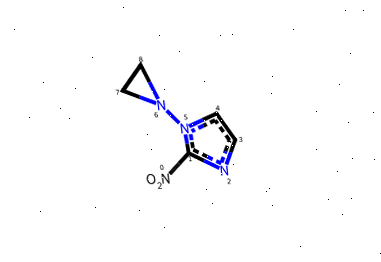 O=[N+]([O-])c1nccn1N1CC1